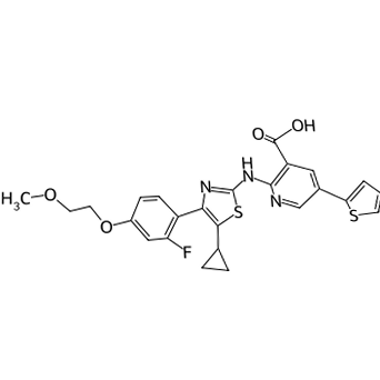 COCCOc1ccc(-c2nc(Nc3ncc(-c4cccs4)cc3C(=O)O)sc2C2CC2)c(F)c1